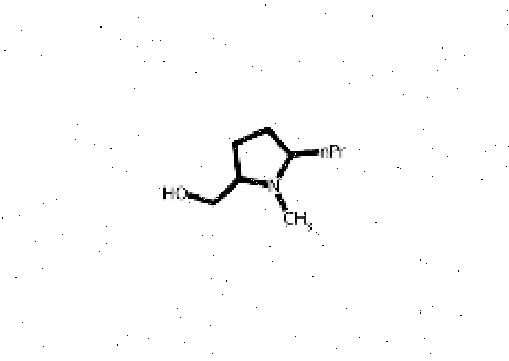 CCCC1CCC(CO)N1C